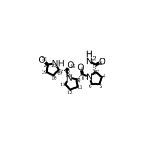 NC(=O)[C@@H]1CCCN1C(=O)[C@@H]1CCCN1C(=O)[C@@H]1CCC(=O)N1